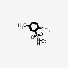 CCNS(=O)(=O)c1cc(C)ccc1C